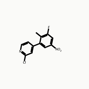 Cc1c(F)cc([N+](=O)[O-])cc1-c1ccnc(Cl)c1